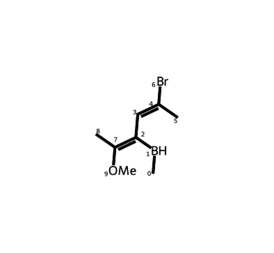 CBC(/C=C(\C)Br)=C(/C)OC